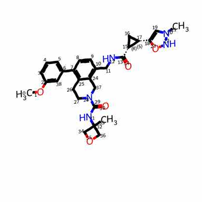 COc1cccc(-c2ccc(CNC(=O)[C@@H]3C[C@@H]3C3=CN(C)NO3)c3c2CCN(C(=O)NC2(C)COC2)C3)c1